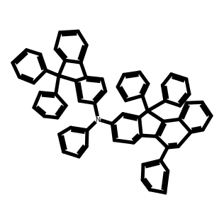 c1ccc(-c2cc3ccccc3c3c2-c2ccc(N(c4ccccc4)c4ccc5c(c4)C(c4ccccc4)(c4ccccc4)c4ccccc4-5)cc2C3(c2ccccc2)c2ccccc2)cc1